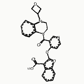 O=C(O)c1c(Oc2ccncc2C(=O)N2CCN(C3COC3)c3ccccc32)oc2ccccc12